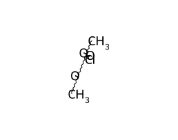 CCCCCCCCCC(=O)CCCCCCCCCCC(C(=O)Cl)C(=O)CCCCCCC